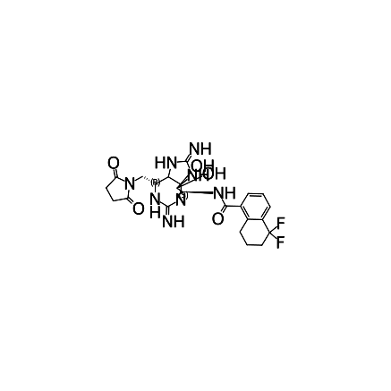 N=C1NC2[C@@H](CN3C(=O)CCC3=O)NC(=N)N3C[C@H](NC(=O)c4cccc5c4CCCC5(F)F)C(O)(O)C23N1